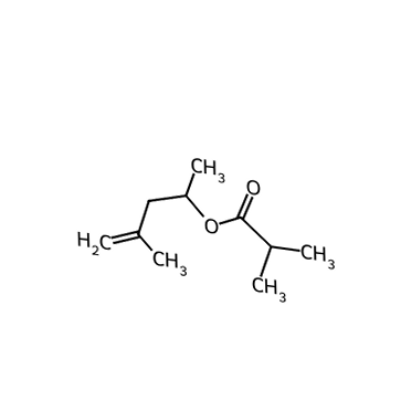 C=C(C)CC(C)OC(=O)C(C)C